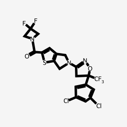 O=C(c1cc2c(s1)CN(C1=NOC(c3cc(Cl)cc(Cl)c3)(C(F)(F)F)C1)C2)N1CC(F)(F)C1